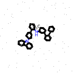 Cc1ccc(-c2ccccc2-c2ccccc2)cc1Nc1ccccc1-c1ccc(-n2c3ccccc3c3ccccc32)cc1